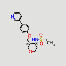 CCS(=O)(=O)N[C@@H]1CCOC[C@H]1COc1ccc(-c2cccnc2)cc1